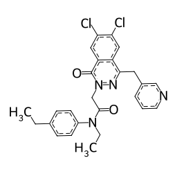 CCc1ccc(N(CC)C(=O)Cn2nc(Cc3cccnc3)c3cc(Cl)c(Cl)cc3c2=O)cc1